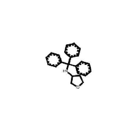 c1ccc(C(NC2CCOC2)(c2ccccc2)c2ccccc2)cc1